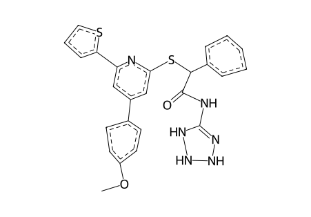 COc1ccc(-c2cc(SC(C(=O)NC3=NNNN3)c3ccccc3)nc(-c3cccs3)c2)cc1